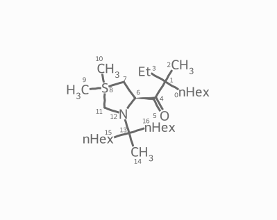 CCCCCCC(C)(CC)C(=O)[C@@H]1CS(C)(C)CN1C(C)(CCCCCC)CCCCCC